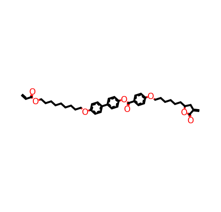 C=CC(=O)OCCCCCCCCCOc1ccc(-c2ccc(OC(=O)c3ccc(OCCCCCCC4CC(=C)C(=O)O4)cc3)cc2)cc1